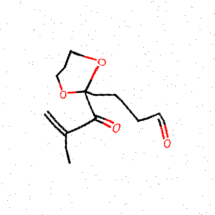 C=C(C)C(=O)C1(CCC=O)OCCO1